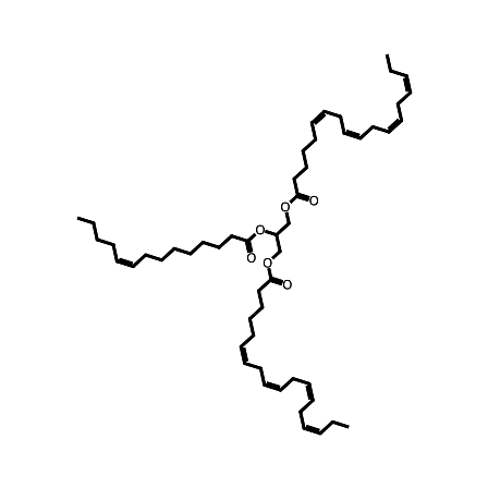 CC/C=C\C/C=C\C/C=C\C/C=C\CCCCC(=O)OCC(COC(=O)CCCC/C=C\C/C=C\C/C=C\C/C=C\CC)OC(=O)CCCCCCC/C=C\CCCC